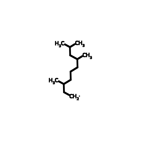 [CH2]CC(C)CCCC(C)CC(C)C